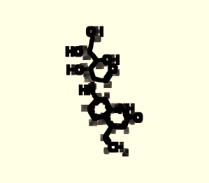 C=Cc1cc(=O)[nH]c2cc(N[C@@H](C=O)[C@@H](O)[C@H](O)[C@H](O)CO)ccc12